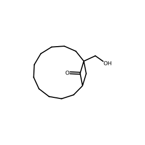 O=C1C2CCCCCCCCCCC1(CO)C2